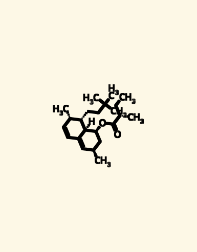 CC[C@H](C)C(=O)O[C@H]1C[C@@H](C)C=C2C=C[C@H](C)[C@H](CCC(C)(C)C)[C@H]21